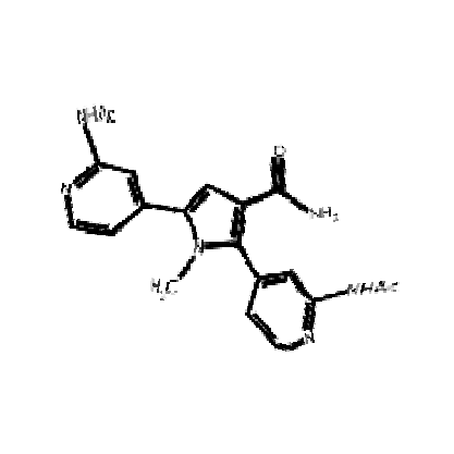 CC(=O)Nc1cc(-c2cc(C(N)=O)c(-c3ccnc(NC(C)=O)c3)n2C)ccn1